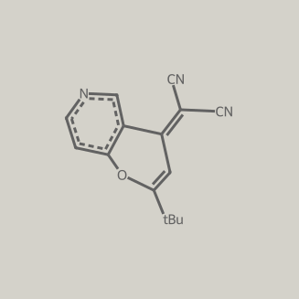 CC(C)(C)C1=CC(=C(C#N)C#N)c2cnccc2O1